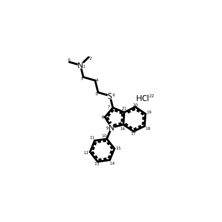 CN(C)CCCSc1cn(-c2ccccc2)c2ccccc12.Cl